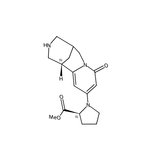 COC(=O)[C@@H]1CCCN1c1cc2n(c(=O)c1)CC1CNC[C@@H]2C1